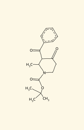 CC1C(C(=O)c2ccccc2)C(=O)CCN1C(=O)OC(C)(C)C